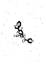 O=C(Nc1n[nH]c2nc(-c3cnn4ccccc34)c(F)cc12)c1ccncc1